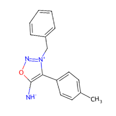 Cc1ccc(-c2c([NH-])on[n+]2Cc2ccccc2)cc1